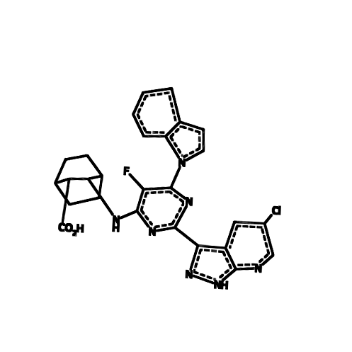 O=C(O)C1C2CCC(CC2)C1Nc1nc(-c2n[nH]c3ncc(Cl)cc23)nc(-n2ccc3ccccc32)c1F